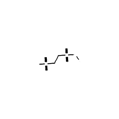 NOS(=O)(=O)CCS(=O)(=O)O